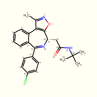 Cc1noc2c1-c1ccccc1C(c1ccc(Cl)cc1)=N[C@H]2CC(=O)NC(C)(C)C